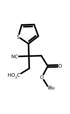 CCC(C)OC(=O)CC(C#N)(CC(=O)O)c1cccs1